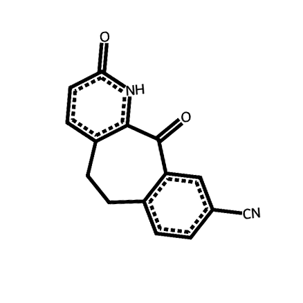 N#Cc1ccc2c(c1)C(=O)c1[nH]c(=O)ccc1CC2